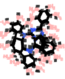 Bc1c(B)c(B)c(-c2nc(-c3c(B)c(B)c(B)c(B)c3B)nc(-n3c4c(B)c(B)c(B)c(B)c4c4c(B)c(B)c5c6c(B)c(B)c(B)c(B)c6n(-c6c(B)c(B)c(B)c(B)c6B)c5c43)n2)c(B)c1B